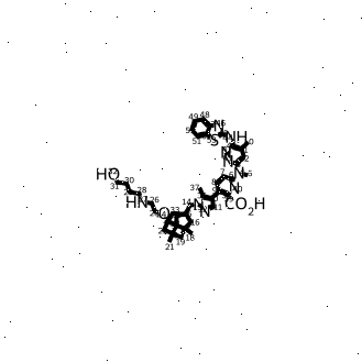 Cc1cc(N(C)c2ccc(-c3cnn(CC45CC6(C)CC7(C)CC(OCCNCCCCO)(C4)C67C5)c3C)c(C(=O)O)n2)nnc1Nc1nc2ccccc2s1